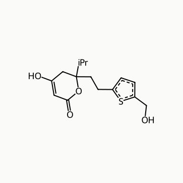 CC(C)C1(CCc2ccc(CO)s2)CC(O)=CC(=O)O1